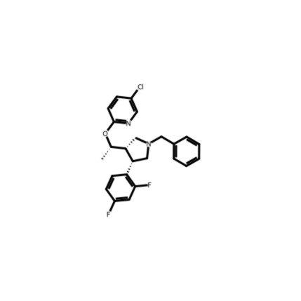 C[C@H](Oc1ccc(Cl)cn1)[C@@H]1CN(Cc2ccccc2)C[C@@H]1c1ccc(F)cc1F